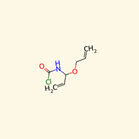 C=CCOC(C=C)NC(=O)Cl